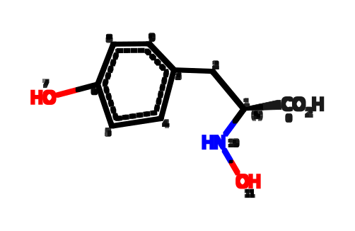 O=C(O)[C@H](Cc1ccc(O)cc1)NO